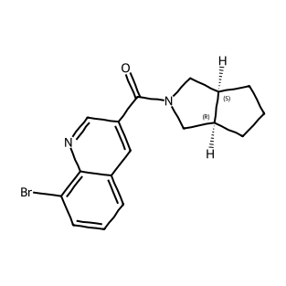 O=C(c1cnc2c(Br)cccc2c1)N1C[C@H]2CCC[C@H]2C1